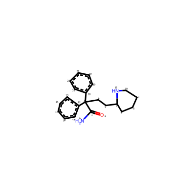 NC(=O)C(CCC1CCCCN1)(c1ccccc1)c1ccccc1